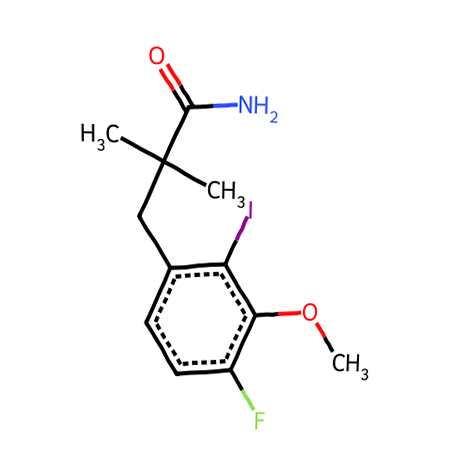 COc1c(F)ccc(CC(C)(C)C(N)=O)c1I